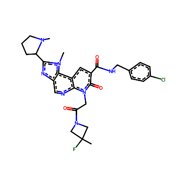 CN1CCCC1c1nc2cnc3c(cc(C(=O)NCc4ccc(Cl)cc4)c(=O)n3CC(=O)N3CC(C)(F)C3)c2n1C